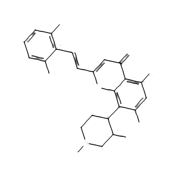 CN1CCC(c2c(O)cc(O)c3c(=O)cc(/C=C/c4c(Cl)cccc4Cl)oc23)C(O)C1.Cl